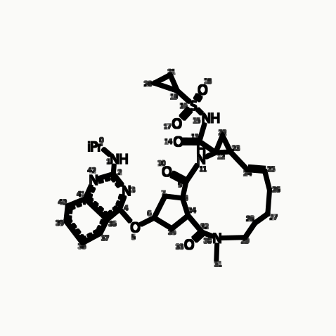 CC(C)Nc1nc(OC2CC3C(=O)NC4(C(=O)NS(=O)(=O)C5CC5)CC4/C=C/CCCCN(C)C(=O)C3C2)c2ccccc2n1